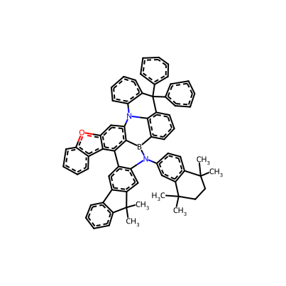 CC1(C)CCC(C)(C)c2cc(N3B4c5cccc6c5N(c5ccccc5C6(c5ccccc5)c5ccccc5)c5cc6oc7ccccc7c6c(c54)-c4cc5c(cc43)C(C)(C)c3ccccc3-5)ccc21